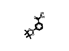 CC(C)NC(=O)c1cccc(B2OC(C)(C)C(C)(C)O2)c1